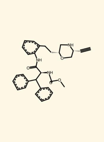 C#C[C@@H]1CO[C@H](CCc2ccccc2NC(=O)[C@@H](NC(=O)OC)C(c2ccccc2)c2ccccc2)CN1